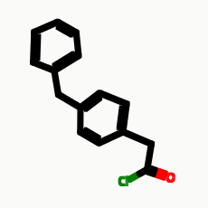 O=C(Cl)Cc1ccc(Cc2ccccc2)cc1